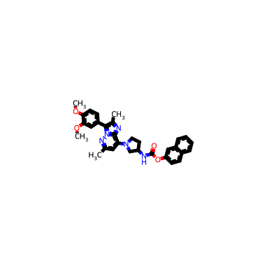 COc1ccc(-c2c(C)nc3c(N4CCC(NC(=O)Oc5ccc6ccccc6c5)C4)cc(C)nn23)cc1OC